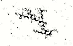 N=C(N)NCCC[C@H](NC(=O)CNC(=O)[C@H](CCCNC(=N)N)NC(=O)CNC(=O)[C@H](CCCN)NC1OC1CN)C(=O)NCC(=O)O